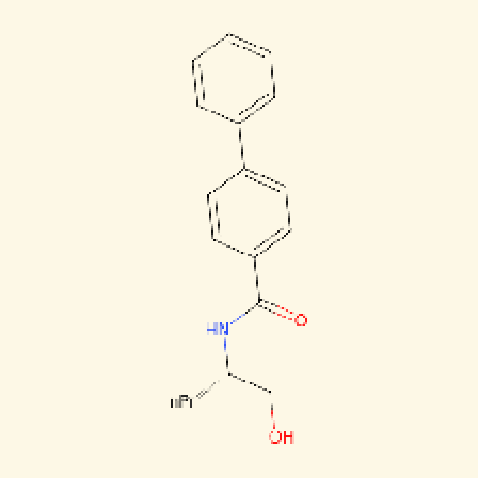 CCC[C@@H](CO)NC(=O)c1ccc(-c2ccccc2)cc1